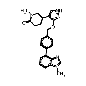 CN1CC(c2c[nH]nc2OCc2ccc(-c3cccc4c3ncn4C)cc2)CCC1=O